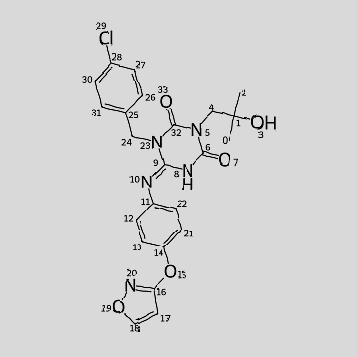 CC(C)(O)Cn1c(=O)[nH]/c(=N\c2ccc(Oc3ccon3)cc2)n(Cc2ccc(Cl)cc2)c1=O